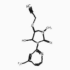 C#CCOC1C(O)N(c2cc(C(F)(F)F)ccn2)C(=O)N1C